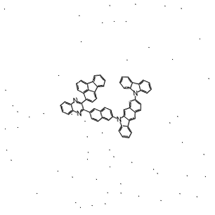 c1ccc2c(c1)-c1cccc3c(-c4nc5ccccc5nc4-c4ccc5cc(-n6c7ccccc7c7cc8ccc(-n9c%10ccccc%10c%10ccccc%109)cc8cc76)ccc5c4)ccc-2c13